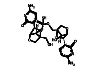 Nc1ccn([C@@H]2O[C@]3(COP(=O)(S)O[C@@H]4C5OC[C@@]4(CO)O[C@H]5n4ccc(N)nc4=O)COC2[C@H]3O)c(=O)n1